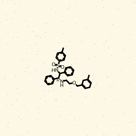 CC1=CCC=C(COCCN[C@H](c2ccccc2)C(NS(=O)(=O)c2ccc(C)cc2)c2ccccc2)C1